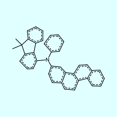 CC1(C)c2ccccc2-c2c(N(c3ccccc3)c3ccc4ccc5c6ccccc6ccc5c4c3)cccc21